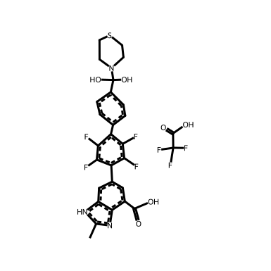 Cc1nc2c(C(=O)O)cc(-c3c(F)c(F)c(-c4ccc(C(O)(O)N5CCSCC5)cc4)c(F)c3F)cc2[nH]1.O=C(O)C(F)(F)F